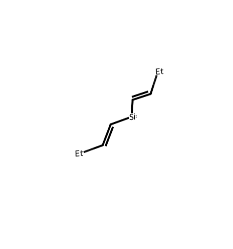 CCC=C[Si]C=CCC